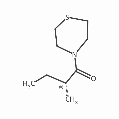 CC[C@@H](C)C(=O)N1CCSCC1